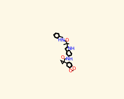 CC(C)(C(=O)NCc1ccccc1)c1cc2cc(NC(=O)C3(c4ccc5c(c4)OCO5)CC3)ccc2[nH]1